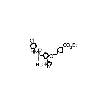 CCOC(=O)C1CCN(CCOc2ccc(NC(=O)Nc3ccc(Cl)cc3)cc2-c2ccnn2C)CC1